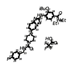 CCN(CC)C(=O)c1ccc(Nc2nc3ccc(N4CCN(C(=O)NCc5ccc(F)cc5)CC4)cn3n2)c(OCC(C)C)c1.O=C(O)C(F)(F)F